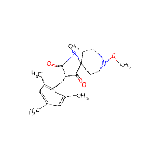 CON1CCC2(CC1)C(=O)C(c1c(C)cc(C)cc1C)C(=O)N2C